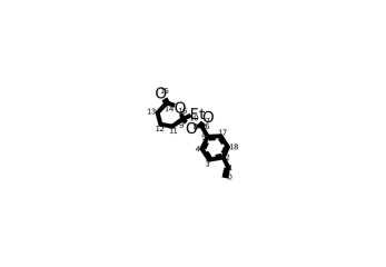 C=Cc1ccc(C(=O)OC2(CC)CCCC(=O)O2)cc1